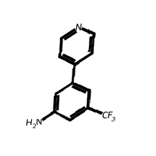 Nc1cc(-c2ccncc2)cc(C(F)(F)F)c1